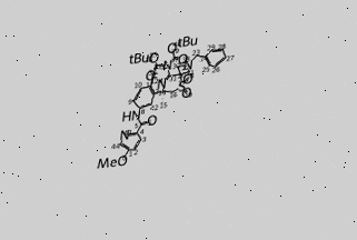 COc1ccc(C(=O)Nc2ccc(F)c([C@]3(C)CS(=O)(=O)C4(CN(Cc5ccccc5)C4)C(N(C(=O)OC(C)(C)C)C(=O)OC(C)(C)C)=N3)c2)nc1